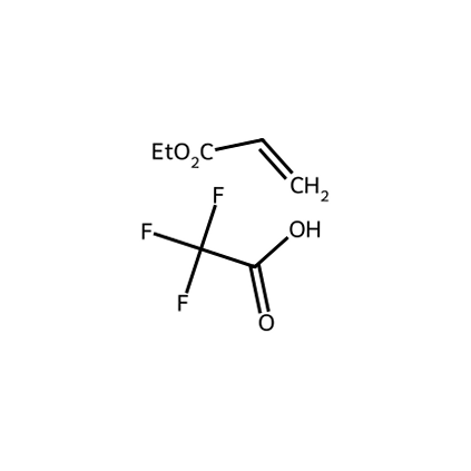 C=CC(=O)OCC.O=C(O)C(F)(F)F